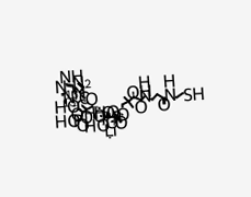 CC(C)(COP(=O)(O)OP(=O)(O)OC[C@H]1O[13C@@H](n2cnc3c(N)ncnc32)[13C@H](O)[C@@H]1OP(=O)(O)O)[C@@H](O)C(=O)NCCC(=O)NCCS.[Li]